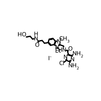 CCn1c(CNC(=O)c2nc(Cl)c(N)nc2N)[n+](C)c2ccc(CCC(=O)NCCCO)cc21.[I-]